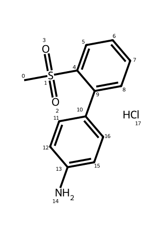 CS(=O)(=O)c1ccccc1-c1ccc(N)cc1.Cl